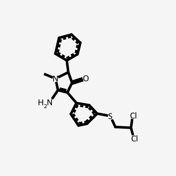 CN1C(N)=C(c2cccc(SCC(Cl)Cl)c2)C(=O)C1c1ccccc1